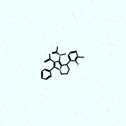 C=C(C)c1c(N(C)C(=C)C)c2n(c1-c1ccccc1)CCCC2c1cccc(F)c1F